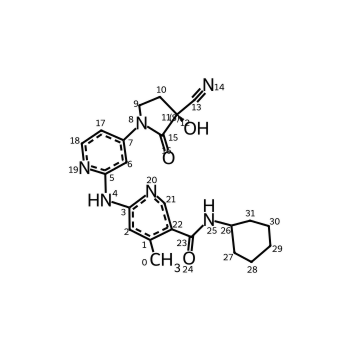 Cc1cc(Nc2cc(N3CC[C@](O)(C#N)C3=O)ccn2)ncc1C(=O)NC1CCCCC1